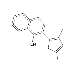 CC1=CC(C)=C(c2ccc3ccccc3c2C#N)C1